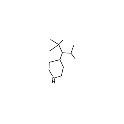 CC(C)C(C1CCNCC1)C(C)(C)C